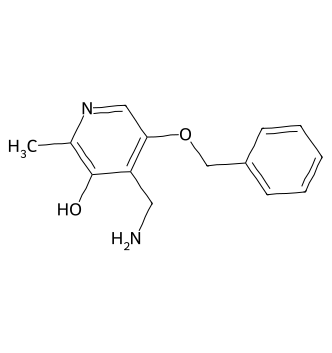 Cc1ncc(OCc2ccccc2)c(CN)c1O